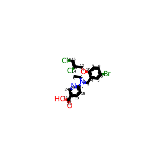 CCN(Cc1cc(Br)ccc1OCC(Cl)=CCl)c1ccc(C(=O)O)cn1